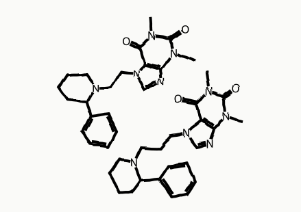 Cn1c(=O)c2c(ncn2CCCN2CCCCC2c2ccccc2)n(C)c1=O.Cn1c(=O)c2c(ncn2CCN2CCCCC2c2ccccc2)n(C)c1=O